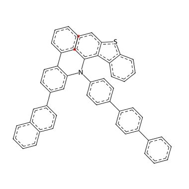 c1ccc(-c2ccc(-c3ccc(N(c4cc(-c5ccc6ccccc6c5)ccc4-c4ccccc4)c4cccc5sc6ccccc6c45)cc3)cc2)cc1